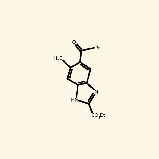 CCCC(=O)c1cc2nc(C(=O)OCC)[nH]c2cc1C